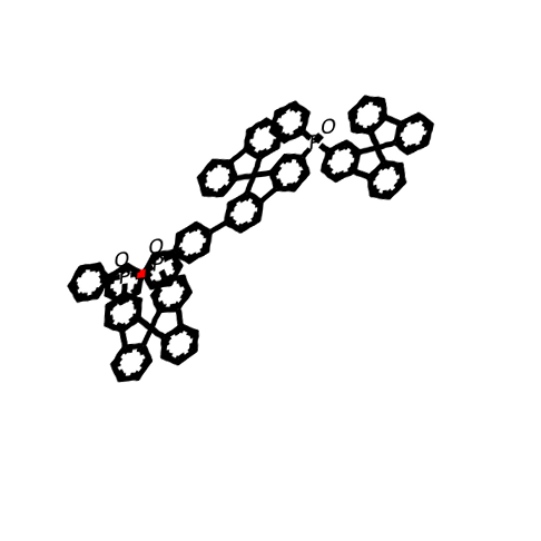 O=P(c1ccccc1)(c1ccc2c(c1)C1(c3ccccc3-c3ccccc31)c1ccccc1-2)c1ccc2c(c1)C1(c3ccccc3-c3ccccc31)c1cc(-c3ccc(P(=O)(c4ccccc4)c4ccc5c(c4)C4(c6ccccc6-c6ccc(P(=O)(c7ccccc7)c7ccccc7)cc64)c4ccccc4-5)cc3)ccc1-2